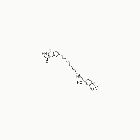 CC1(C)OCc2cc([C@H](O)CNCCCCCCOCCCCc3cccc(CN4C(=O)CNC4=O)c3)ccc2O1